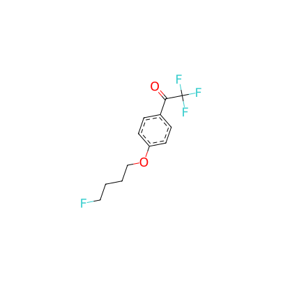 O=C(c1ccc(OCCCCF)cc1)C(F)(F)F